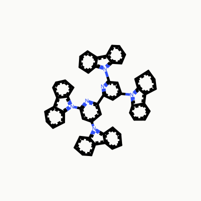 c1ccc2c(c1)c1ccccc1n2-c1cc(-c2cc(-n3c4ccccc4c4ccccc43)cc(-n3c4ccccc4c4ccccc43)n2)nc(-n2c3ccccc3c3ccccc32)c1